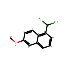 COc1ccc2c([C](F)F)cccc2c1